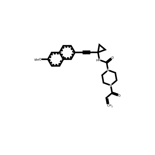 C=CC(=O)N1CCN(C(=O)NC2(C#Cc3ccc4cc(OC)ccc4c3)CC2)CC1